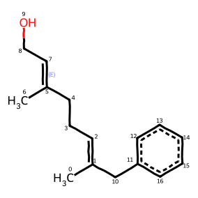 CC(=CCC/C(C)=C/CO)Cc1ccccc1